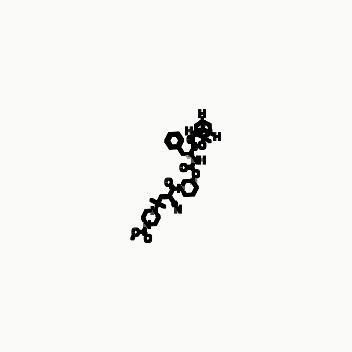 COC(=O)N1CCN(C(C)(C)C=C(C#N)C(=O)N2CCC[C@H](OC(=O)N[C@@H](Cc3ccccc3)B3O[C@@H]4C[C@@H]5C[C@@H](C5(C)C)[C@]4(C)O3)C2)CC1